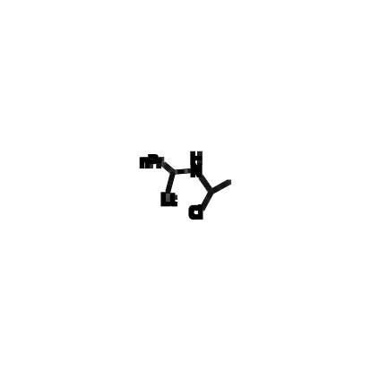 CCCC(CC)NC(C)Cl